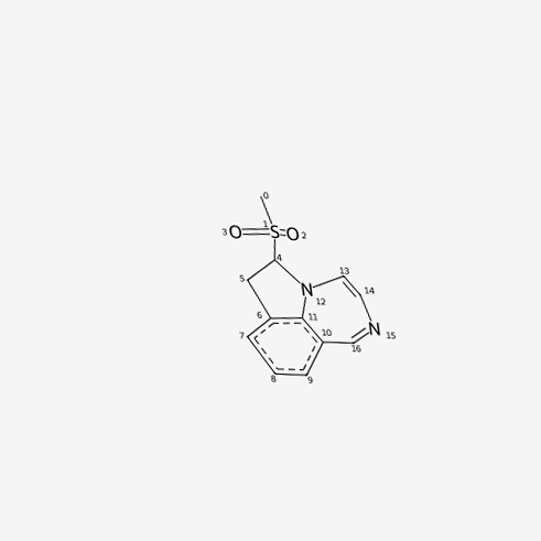 CS(=O)(=O)C1Cc2cccc3c2N1C=CN=C3